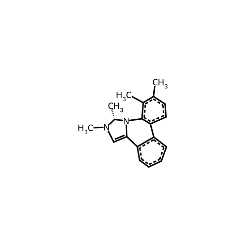 Cc1ccc2c(c1C)N1C(=CN(C)[C@@H]1C)c1ccccc1-2